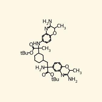 CC1Oc2ccc(NC(C)(C(=O)OC(C)(C)C)C3CCCC(CC(N)(C(=O)OC(C)(C)C)c4ccc5c(c4)N=C(N)C(C)O5)C3)cc2N=C1N